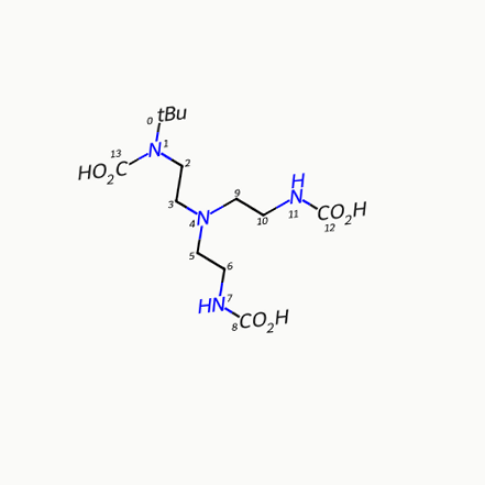 CC(C)(C)N(CCN(CCNC(=O)O)CCNC(=O)O)C(=O)O